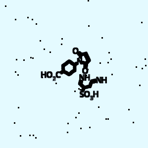 N=CCC(C=N)S(=O)(=O)O.O=C(O)C1CCC(N2C(=O)C=CC2=O)CC1